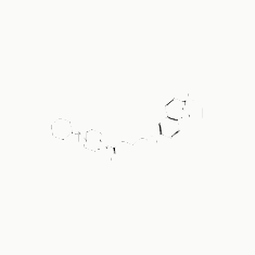 O=C(CCCOc1ccc2[nH]c(=O)ccc2c1)N1CCN(C2CCCCC2)CC1